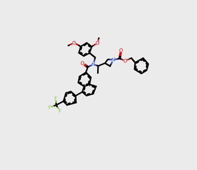 COc1ccc(CN(C(=O)c2ccc3c(-c4ccc(C(F)(F)F)cc4)cccc3c2)C(C)C2CN(C(=O)OCc3ccccc3)C2)c(OC)c1